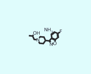 CC(O)CN1CCC(c2noc3cc(F)ccc23)CC1.N